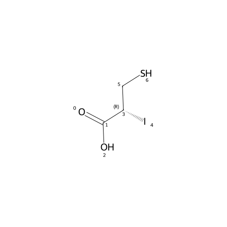 O=C(O)[C@@H](I)CS